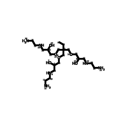 CCC(COCC(O)CNCCN)(COCC(O)CNCCN)COCC(O)CNCCN